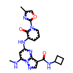 CNc1cc(Nc2cccn(-c3nc(C)co3)c2=O)nc2c(C(=O)NC3CCC3)cnn12